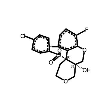 O=S(=O)(c1ccc(Cl)cc1)[C@@]12CCOC[C@]1(O)COc1c(F)ccc(F)c12